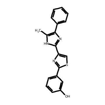 Cc1[nH]c(-c2csc(-c3cccc(O)c3)n2)nc1-c1ccccc1